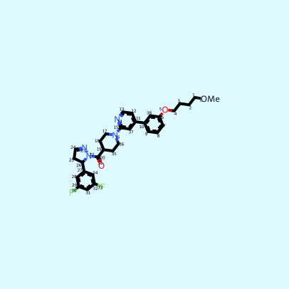 COCCCCOc1cccc(-c2ccnc(N3CCC(C(=O)N4N=CCC4c4cc(F)cc(F)c4)CC3)c2)c1